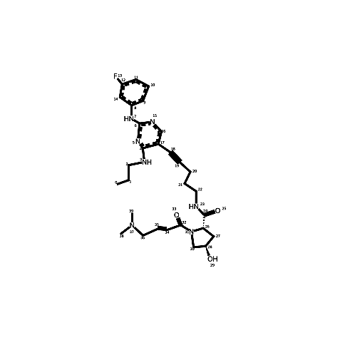 CCCNc1nc(Nc2cccc(F)c2)ncc1C#CCCCNC(=O)[C@@H]1C[C@@H](O)CN1C(=O)C=CCN(C)C